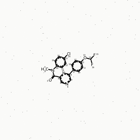 CN(C(=O)c1cncc(-c2ccc(OC(F)F)cc2)n1)c1ccc(Cl)cc1